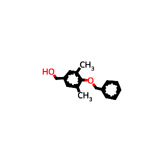 Cc1cc(CO)cc(C)c1OCc1ccccc1